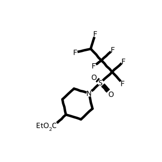 CCOC(=O)C1CCN(S(=O)(=O)C(F)(F)C(F)(F)C(F)F)CC1